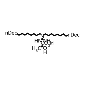 CC(O)C(=O)O.CCCCCCCCCCCCCCCCCCN(CCCCCCCCCCCCCCCCCC)C(=N)N